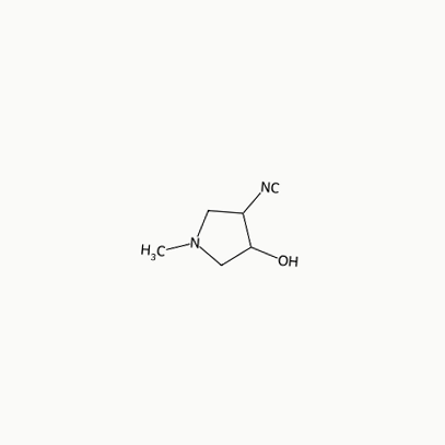 [C-]#[N+]C1CN(C)CC1O